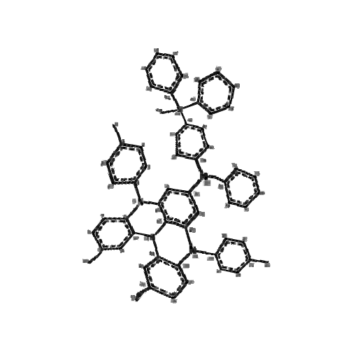 Cc1ccc(N2c3ccc(C)cc3B3c4cc(C)ccc4N(c4ccc(C)cc4)c4cc(N(c5ccccc5)c5ccc([Si](C)(c6ccccc6)c6ccccc6)cc5)cc2c43)cc1